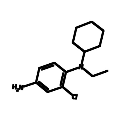 CCN(c1ccc(N)cc1Cl)C1CCCCC1